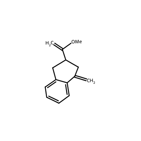 C=C1CC(C(=C)OC)Cc2ccccc21